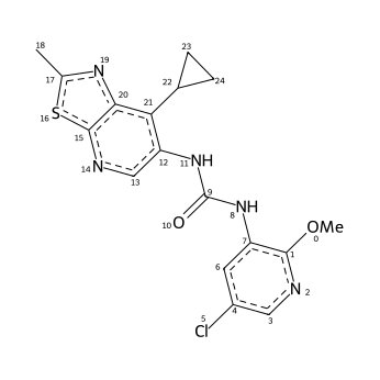 COc1ncc(Cl)cc1NC(=O)Nc1cnc2sc(C)nc2c1C1CC1